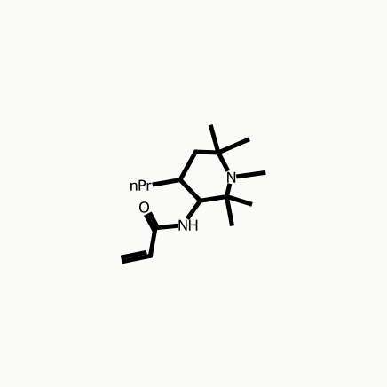 C=CC(=O)NC1C(CCC)CC(C)(C)N(C)C1(C)C